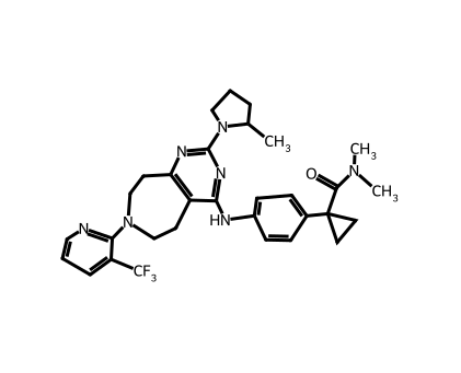 CC1CCCN1c1nc2c(c(Nc3ccc(C4(C(=O)N(C)C)CC4)cc3)n1)CCN(c1ncccc1C(F)(F)F)CC2